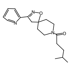 CC(C)CCC(=O)N1CCC2(CC1)CC(c1ccccn1)=NO2